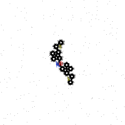 c1ccc(C2(c3ccccc3)c3cc(-c4nnc(-c5ccc6c(c5)C(c5ccccc5)(c5ccccc5)c5cc(-c7cccc8c7sc7ccccc78)ccc5-6)o4)ccc3-c3ccc(-c4cccc5c4sc4ccccc45)cc32)cc1